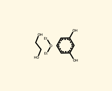 CCOCC.OCCO.Oc1cccc(O)c1